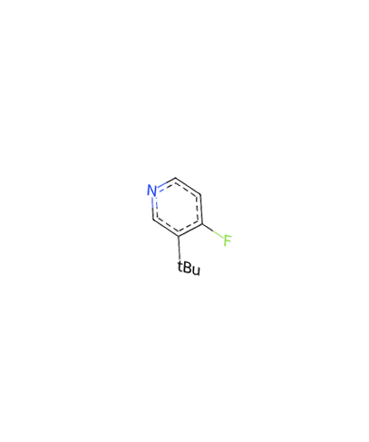 CC(C)(C)c1cnccc1F